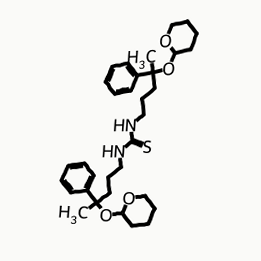 CC(CCCNC(=S)NCCCC(C)(OC1CCCCO1)c1ccccc1)(OC1CCCCO1)c1ccccc1